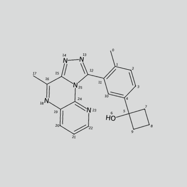 Cc1ccc(C2(O)CCC2)cc1-c1nnc2c(C)nc3cccnc3n12